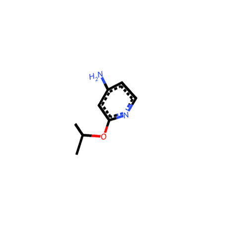 CC(C)Oc1cc(N)ccn1